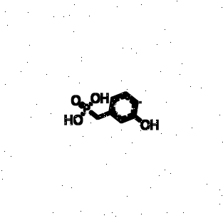 O=P(O)(O)Cc1cc[c]c(O)c1